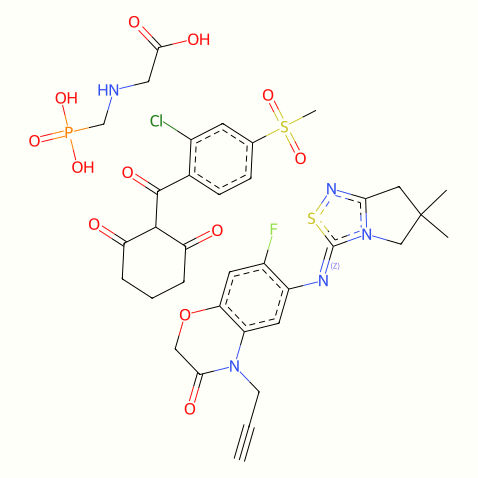 C#CCN1C(=O)COc2cc(F)c(/N=c3\snc4n3CC(C)(C)C4)cc21.CS(=O)(=O)c1ccc(C(=O)C2C(=O)CCCC2=O)c(Cl)c1.O=C(O)CNCP(=O)(O)O